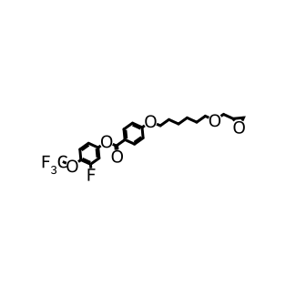 O=C(Oc1ccc(OC(F)(F)F)c(F)c1)c1ccc(OCCCCCCOCC2CO2)cc1